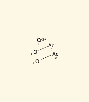 CC(=O)[O-].CC(=O)[O-].[Cr+2]